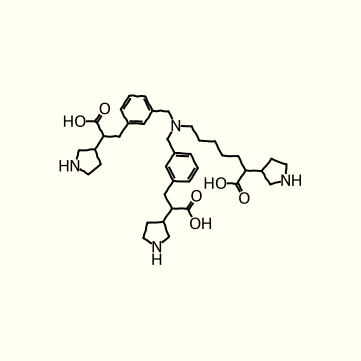 O=C(O)C(CCCCCN(Cc1cccc(CC(C(=O)O)C2CCNC2)c1)Cc1cccc(CC(C(=O)O)C2CCNC2)c1)C1CCNC1